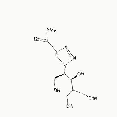 CNC(=O)c1cn([C@H](CO)[C@@H](O)C(CO)OC)nn1